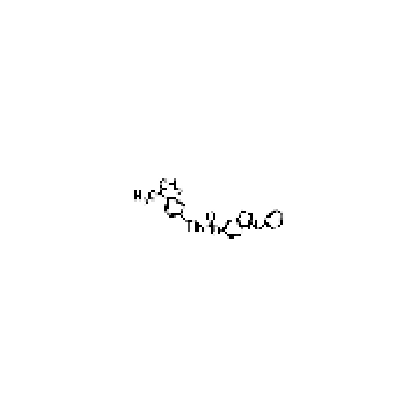 CC(C)c1ccc(CCNC(=O)Oc2ccc3c(c2)CCN3Cc2ccccc2)cc1